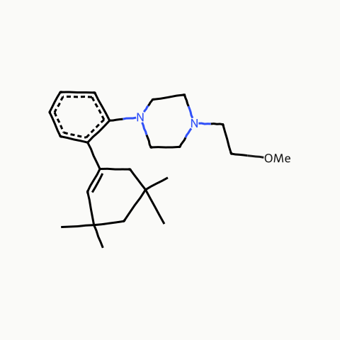 COCCN1CCN(c2ccccc2C2=CC(C)(C)CC(C)(C)C2)CC1